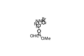 COCCN(C=O)c1ccc(-c2cc(-c3cccc(Br)c3)c3c(N)ncnc3n2)cc1